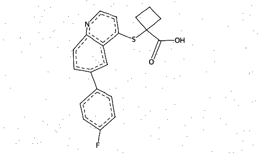 O=C(O)C1(Sc2ccnc3ccc(-c4ccc(F)cc4)cc23)CCC1